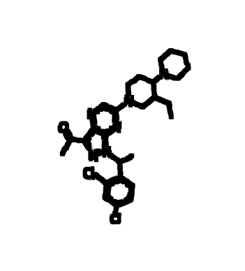 CCC1CN(c2cnc3c(C(C)=O)nn(C(C)c4ccc(Cl)cc4Cl)c3n2)CCC1N1CCCCC1